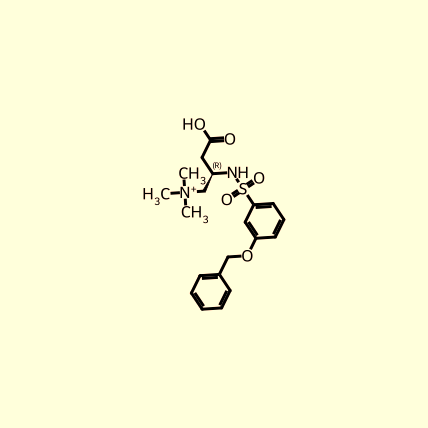 C[N+](C)(C)C[C@@H](CC(=O)O)NS(=O)(=O)c1cccc(OCc2ccccc2)c1